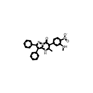 CNc1cc(-c2c(C)[nH]c3c(-c4ccccc4)c(-c4ccccc4)nn3c2=O)ccc1[N+](=O)[O-]